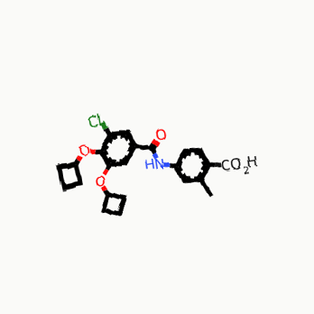 Cc1cc(NC(=O)c2cc(Cl)c(OC3CCC3)c(OC3CCC3)c2)ccc1C(=O)O